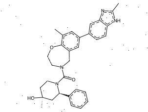 Cc1nc2cc(-c3cc(C)c4c(c3)CN(C(=O)N3CC[C@](C)(O)C[C@@H]3c3ccccc3)CCO4)ccc2[nH]1